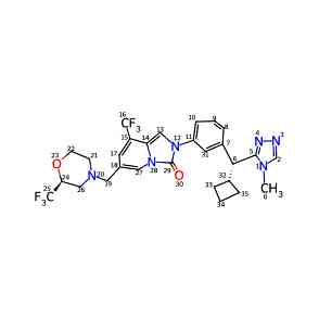 Cn1cnnc1[C@@H](c1cccc(-n2cc3c(C(F)(F)F)cc(CN4CCO[C@H](C(F)(F)F)C4)cn3c2=O)c1)C1CCC1